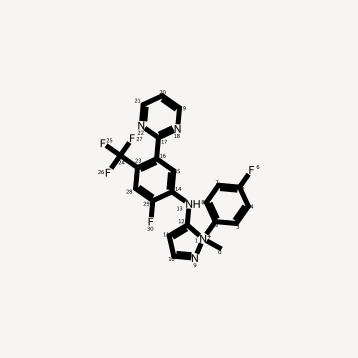 C[N+]1(c2ccc(F)cc2)N=CC=C1Nc1cc(-c2ncccn2)c(C(F)(F)F)cc1F